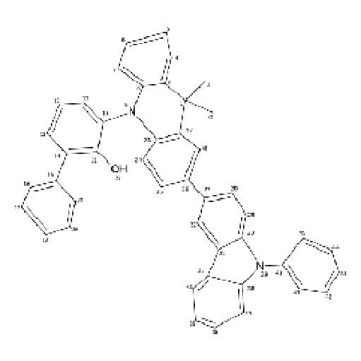 CC1(C)c2ccccc2N(c2cccc(-c3ccccc3)c2O)c2ccc(-c3ccc4c(c3)c3ccccc3n4-c3ccccc3)cc21